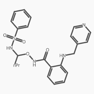 CCCC(NS(=O)(=O)c1ccccc1)ONC(=O)c1ccccc1NCc1ccncc1